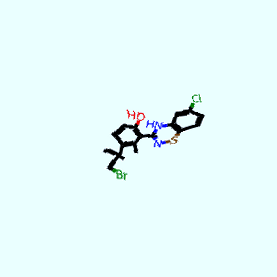 Cc1c(C(C)(C)CBr)ccc(O)c1C1=NSc2ccc(Cl)cc2N1